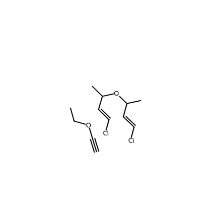 C#COCC.CC(C=CCl)OC(C)C=CCl